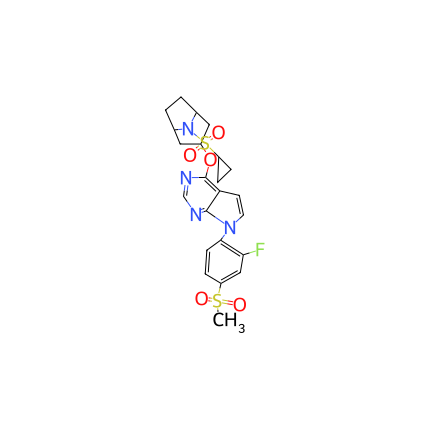 CS(=O)(=O)c1ccc(-n2ccc3c(OC4CC5CCC(C4)N5S(=O)(=O)C4CC4)ncnc32)c(F)c1